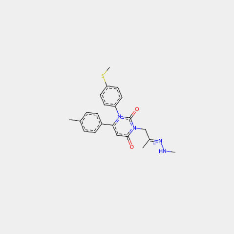 CN/N=C(\C)Cn1c(=O)cc(-c2ccc(C)cc2)n(-c2ccc(SC)cc2)c1=O